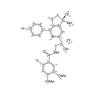 COc1cc(F)c(C(=O)NC[C@](O)(c2cc3c(c(-c4ccc(F)cc4)n2)OC[C@@]3(N)C(F)(F)F)C(F)(F)F)cc1OC